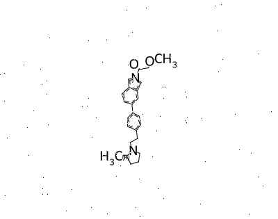 COCC(=O)n1cc2ccc(-c3ccc(CCN4CCC[C@H]4C)cc3)cc2c1